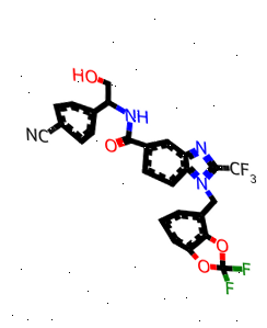 N#Cc1ccc(C(CO)NC(=O)c2ccc3c(c2)nc(C(F)(F)F)n3Cc2cccc3c2OC(F)(F)O3)cc1